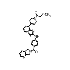 O=C(CCC(F)(F)F)N1CC=C(c2cccn3nc(Nc4ccc(C(=O)N5Cc6cccnc6C5)cc4)nc23)CC1